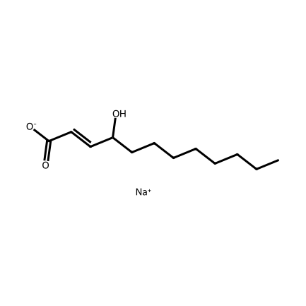 CCCCCCCCC(O)C=CC(=O)[O-].[Na+]